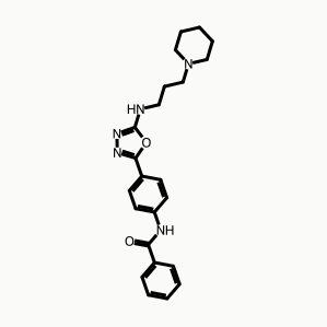 O=C(Nc1ccc(-c2nnc(NCCCN3CCCCC3)o2)cc1)c1ccccc1